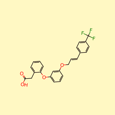 O=C(O)Cc1ccccc1Oc1cccc(OC/C=C/c2ccc(C(F)(F)F)cc2)c1